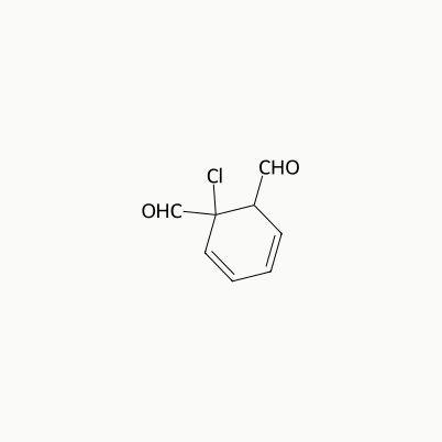 O=CC1C=CC=CC1(Cl)C=O